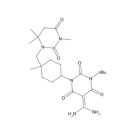 CCCCN1C(=O)C(=C(N)N)C(=O)N(C2CCC(C)(CN3C(=O)N(C)C(=O)CC3(C)C)CC2)C1=O